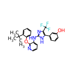 CC(C)(C)c1ccccc1Oc1ncccc1Nc1nc(C(F)(F)F)c(-c2cccc(O)c2)[nH]1